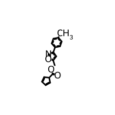 Cc1ccc(-c2cc(COC(=O)C3C=CC=C3)on2)cc1